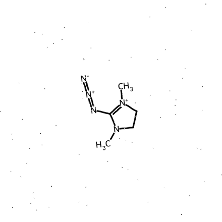 CN1CC[N+](C)=C1N=[N+]=[N-]